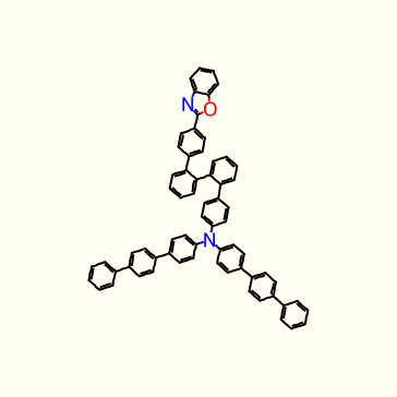 c1ccc(-c2ccc(-c3ccc(N(c4ccc(-c5ccc(-c6ccccc6)cc5)cc4)c4ccc(-c5ccccc5-c5ccccc5-c5ccc(-c6nc7ccccc7o6)cc5)cc4)cc3)cc2)cc1